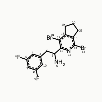 NC(Cc1cc(F)cc(F)c1)c1nc(Br)c2c(c1Br)CCC2